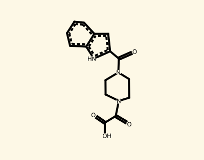 O=C(O)C(=O)N1CCN(C(=O)c2cc3ccccc3[nH]2)CC1